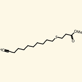 C#CCCCCCCCCCSCCC(=O)OC